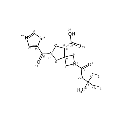 CC(C)(C)OC(=O)N1CC2(C1)CN(C(=O)c1cncs1)C[C@@H]2C(=O)O